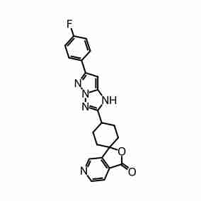 O=C1OC2(CCC(c3nn4nc(-c5ccc(F)cc5)cc4[nH]3)CC2)c2cnccc21